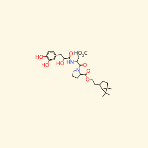 CC1(C)C2C(CCOC(=O)C3CCCN3C(=O)C(CC(=O)O)NC(=O)C(O)Cc3ccc(O)c(O)c3)CCC21C